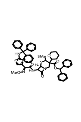 CON=C(C(=O)NC1C(=O)N2CC(C(=O)OC(c3ccccc3)c3ccccc3)(C3CCCCO3)C(SC)S[C@H]12)c1csc(NC(c2ccccc2)(c2ccccc2)c2ccccc2)n1